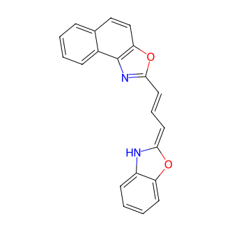 C(=Cc1nc2c(ccc3ccccc32)o1)C=C1Nc2ccccc2O1